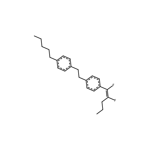 CCCCCc1ccc(CCc2ccc(/C(F)=C(/F)CCC)cc2)cc1